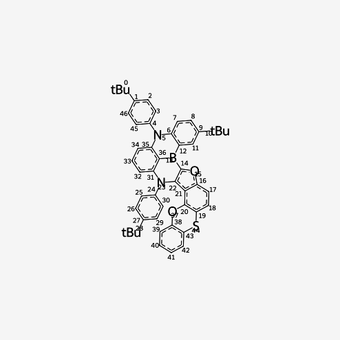 CC(C)(C)c1ccc(N2c3ccc(C(C)(C)C)cc3B3c4oc5ccc6c(c5c4N(c4ccc(C(C)(C)C)cc4)c4cccc2c43)Oc2ccccc2S6)cc1